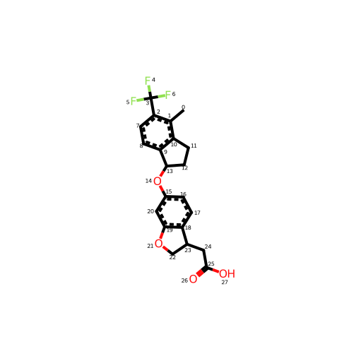 Cc1c(C(F)(F)F)ccc2c1CCC2Oc1ccc2c(c1)OCC2CC(=O)O